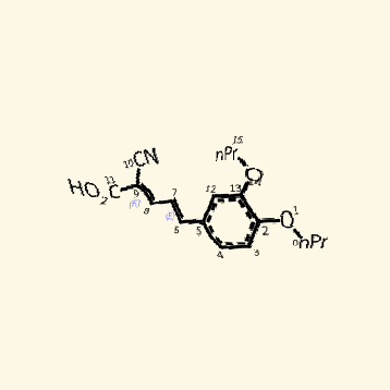 CCCOc1ccc(/C=C/C=C(\C#N)C(=O)O)cc1OCCC